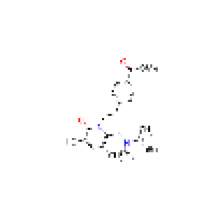 CCCC[C@@H](C)N(C)Cc1c(C)cc(C)c(=O)n1CCc1ccc(C(=O)OC)cc1